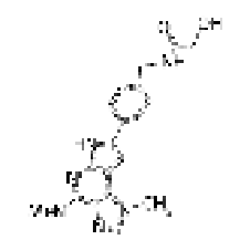 CNc1nc2[nH]c(-c3ccc(CNC(=O)CO)cc3)cc2c2c1ncn2C